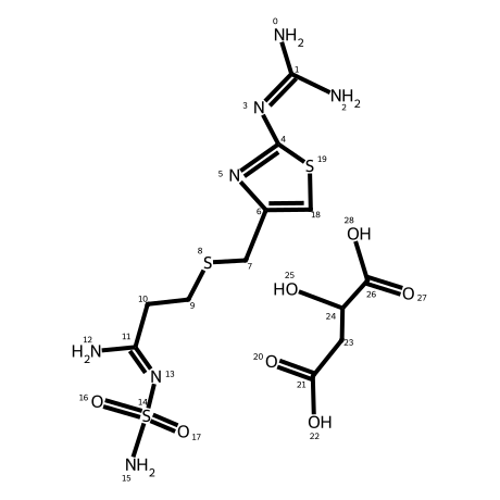 NC(N)=Nc1nc(CSCCC(N)=NS(N)(=O)=O)cs1.O=C(O)CC(O)C(=O)O